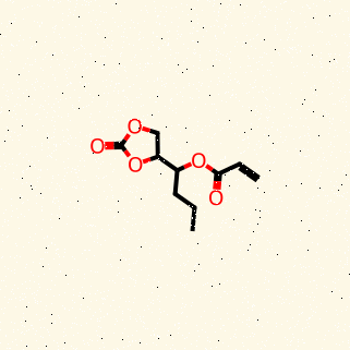 C=CC(=O)OC(CCC)C1COC(=O)O1